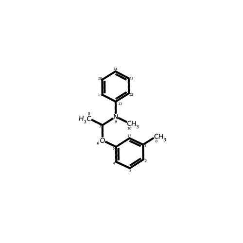 Cc1cccc(OC(C)N(C)c2ccccc2)c1